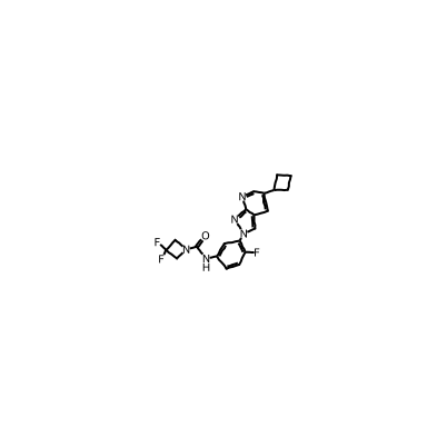 O=C(Nc1ccc(F)c(-n2cc3cc(C4CCC4)cnc3n2)c1)N1CC(F)(F)C1